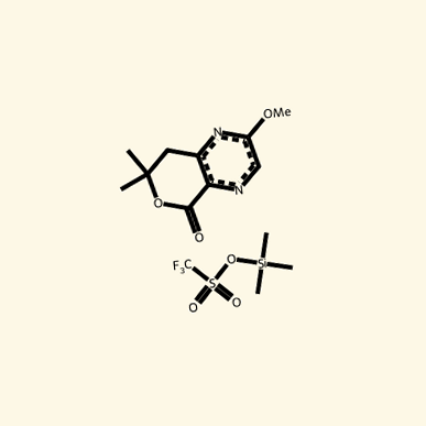 COc1cnc2c(n1)CC(C)(C)OC2=O.C[Si](C)(C)OS(=O)(=O)C(F)(F)F